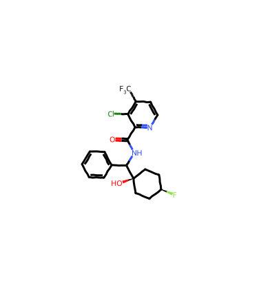 O=C(NC(c1ccccc1)[C@]1(O)CC[C@@H](F)CC1)c1nccc(C(F)(F)F)c1Cl